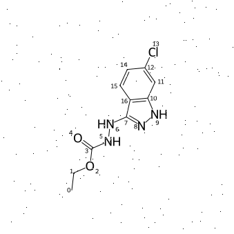 CCOC(=O)NNc1n[nH]c2cc(Cl)ccc12